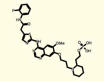 COc1cc2c(Nc3ncc(CC(=O)Nc4ccccc4F)s3)ncnc2cc1OCCCN1CCCCC1CCOP(=O)(O)O